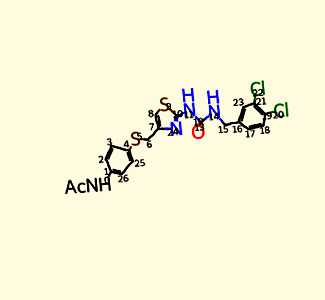 CC(=O)Nc1ccc(SCc2csc(NC(=O)NCc3ccc(Cl)c(Cl)c3)n2)cc1